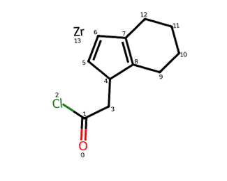 O=C(Cl)CC1C=CC2=C1CCCC2.[Zr]